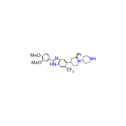 COc1ccc(-c2nc3cc(C4CCN(C5CCNCC5)[C@@H](C(C)C)C4)c(C(F)(F)F)cc3[nH]2)cc1OC